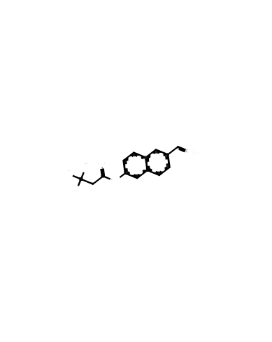 C=Cc1ccc2cc(OC(=O)CC(F)(F)F)ccc2c1